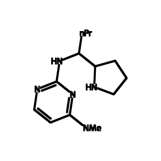 CCCC(Nc1nccc(NC)n1)C1CCCN1